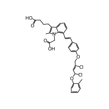 Cc1ccccc1OC(Cl)C=C(Cl)COc1ccc(C=Cc2cccc3c(CCCC(=O)O)c(C)n(CC(=O)O)c23)cc1